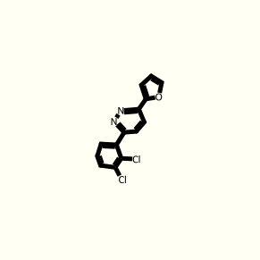 Clc1cccc(-c2ccc(-c3ccco3)nn2)c1Cl